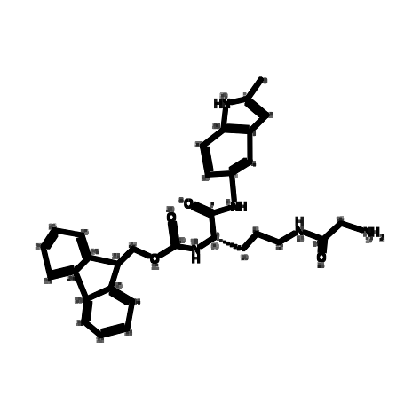 Cc1cc2cc(NC(=O)[C@H](CCCNC(=O)CN)NC(=O)OCC3c4ccccc4-c4ccccc43)ccc2[nH]1